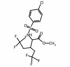 COC(=O)C(NS(=O)(=O)c1ccc(Cl)cc1)C(CC(F)(F)F)CC(F)(F)F